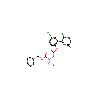 CN(CC1Cc2cc(Cl)cc(-c3cc(Cl)ccc3Cl)c2O1)C(=O)OCc1ccccc1